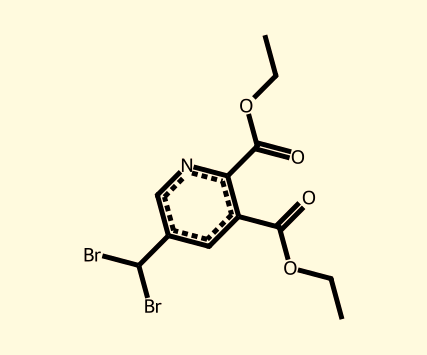 CCOC(=O)c1cc(C(Br)Br)cnc1C(=O)OCC